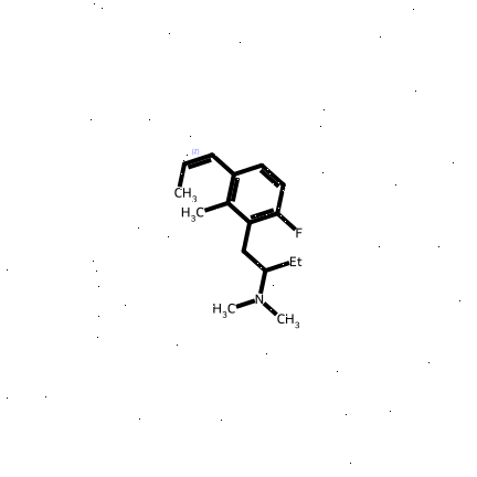 C/C=C\c1ccc(F)c(CC(CC)N(C)C)c1C